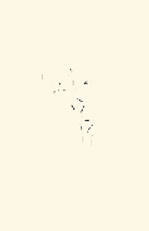 C=CCN1C(C#N)C(c2ccc(-c3ccc(C(F)(F)F)cc3)cc2)C1OS(=O)(=O)CC